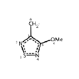 [CH2]c1nsnc1OC